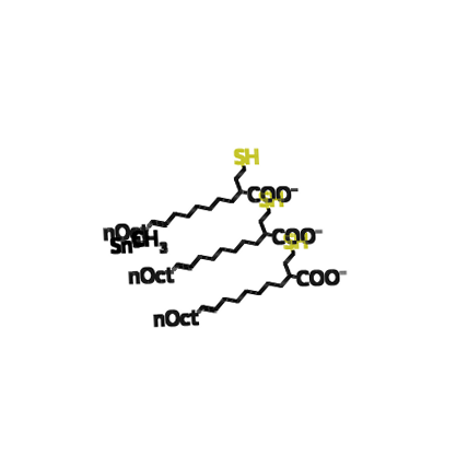 CCCCCCCCC=CCCCCCCC(CCS)C(=O)[O-].CCCCCCCCC=CCCCCCCC(CCS)C(=O)[O-].CCCCCCCCC=CCCCCCCC(CCS)C(=O)[O-].[CH3][Sn+3]